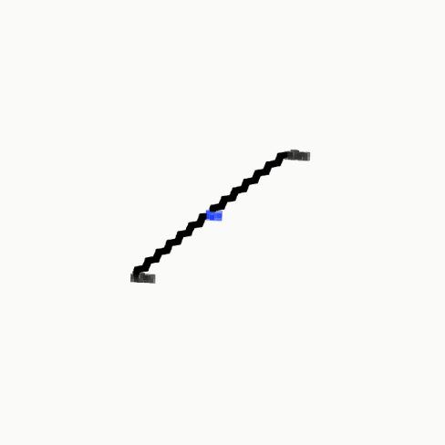 CCCCCCCCCCCCCCCCCCCCCCCNCCCCCCCCCCCCCCCCCCCCCCC